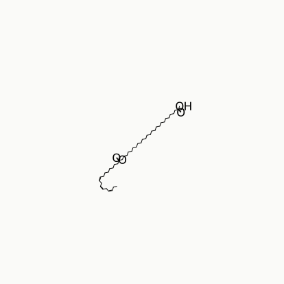 CC/C=C\C/C=C\C/C=C\CCCCCCCC(=O)OCCCCCCCCCCCCCCCCCCCCCCCC(=O)O